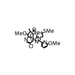 COc1cccc(-c2nnc(NS(=O)(=O)C(C)C(OC)c3ncc(Cl)cn3)n2CCSC)n1